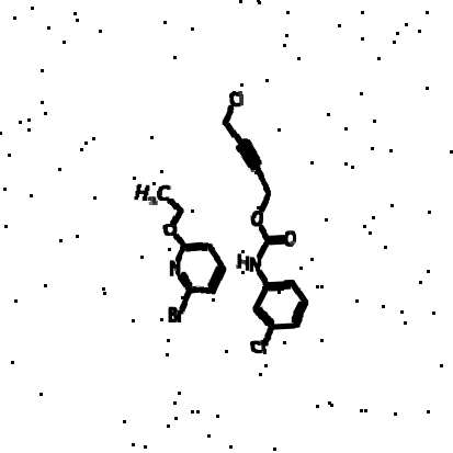 CCOc1cccc(Br)n1.O=C(Nc1cccc(Cl)c1)OCC#CCCl